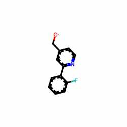 [O]Cc1ccnc(-c2ccccc2F)c1